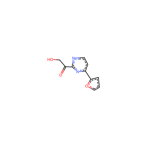 O=C(CO)c1nccc(-c2ccco2)n1